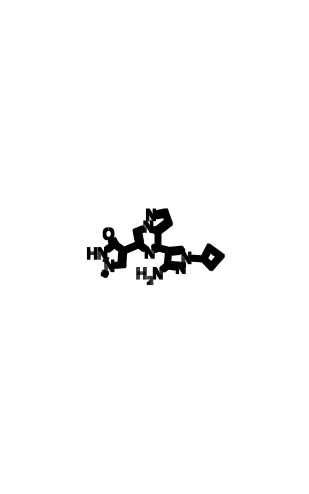 Cn1cc(-c2cn3nccc3c(-c3cn(C4CCC4)nc3N)n2)c(=O)[nH]1